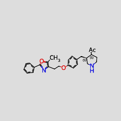 CC(=O)[C@H]1CCNC[C@H]1Cc1ccc(OCCc2nc(-c3ccccc3)oc2C)cc1